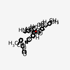 CC(C)c1ccccc1[C@@H]1CC[C@@H](N2CCOCC2)CN1C1CC2(CCN(c3ccc(C(=O)NS(=O)(=O)c4ccc(NCC5CCC(C)(O)CC5)c([N+](=O)[O-])c4)c(N4c5cc6cc[nH]c6nc5O[C@H]5COCC[C@@H]54)c3)CC2)C1